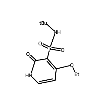 CCOc1cc[nH]c(=O)c1S(=O)(=O)NC(C)(C)C